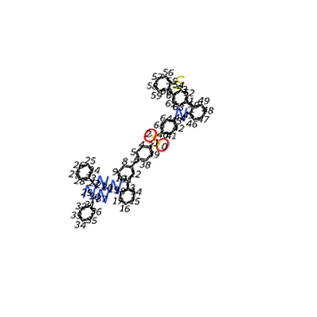 O=S(=O)(c1ccc(-c2ccc3c(c2)c2ccccc2n3-c2nc(-c3ccccc3)nc(-c3ccccc3)n2)cc1)c1ccc(-n2c3ccccc3c3cc4sc5ccccc5c4cc32)cc1